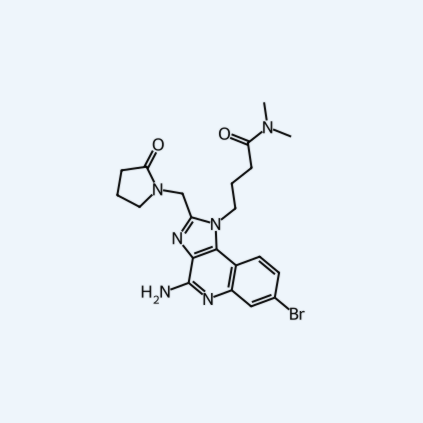 CN(C)C(=O)CCCn1c(CN2CCCC2=O)nc2c(N)nc3cc(Br)ccc3c21